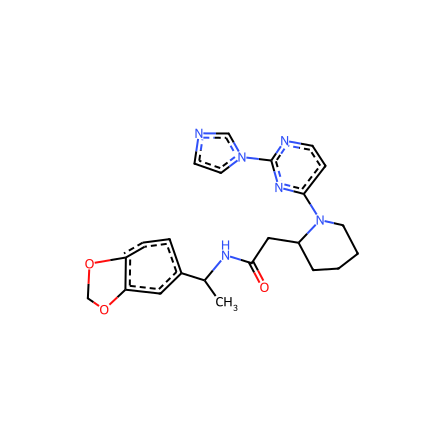 CC(NC(=O)CC1CCCCN1c1ccnc(-n2ccnc2)n1)c1ccc2c(c1)OCO2